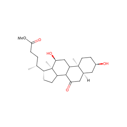 COC(=O)CC[C@@H](C)[C@H]1CCC2C3C(=O)C[C@@H]4C[C@H](O)CC[C@]4(C)C3C[C@H](O)[C@@]21C